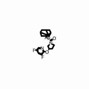 CC(=O)C12CC3CC(C1)C(OC(=O)N1CC[C@@H](Oc4ncc(F)cc4F)C1)C(C3)C2